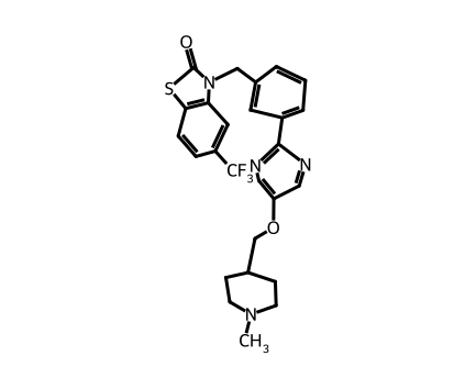 CN1CCC(COc2cnc(-c3cccc(Cn4c(=O)sc5ccc(C(F)(F)F)cc54)c3)nc2)CC1